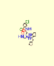 O=C(CC1C(=O)NCCN1c1nc(CC2CCCC2)c2ccccc2n1)Nc1cc(Cl)ccc1Cl